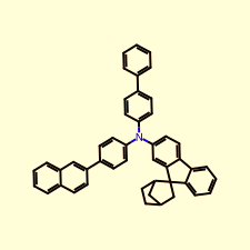 c1ccc(-c2ccc(N(c3ccc(-c4ccc5ccccc5c4)cc3)c3ccc4c(c3)C3(CC5CCC3C5)c3ccccc3-4)cc2)cc1